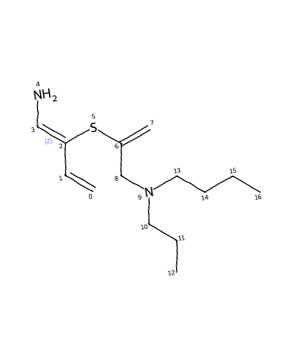 C=C/C(=C/N)SC(=C)CN(CCC)CCCC